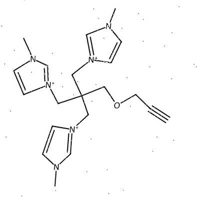 C#CCOCC(C[n+]1ccn(C)c1)(C[n+]1ccn(C)c1)C[n+]1ccn(C)c1